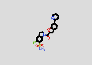 NS(=O)(=O)c1cc2c(cc1F)CCN2C(=O)C1Cc2ccc(-c3ccccn3)cc2O1